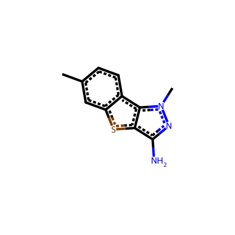 Cc1ccc2c(c1)sc1c(N)nn(C)c12